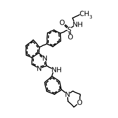 CCNS(=O)(=O)c1ccc(-c2cccc3cnc(Nc4cccc(N5CCOCC5)c4)nc23)cc1